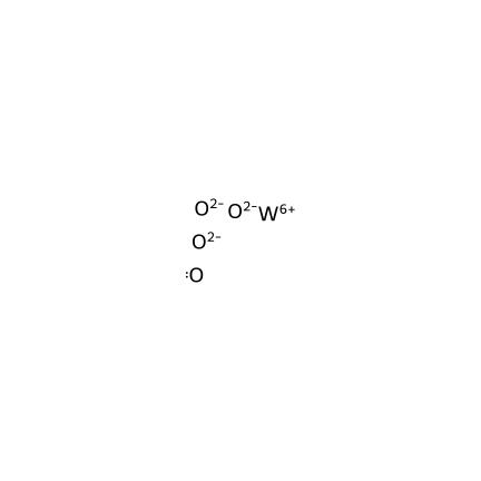 [O-2].[O-2].[O-2].[O].[W+6]